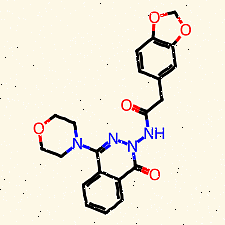 O=C(Cc1ccc2c(c1)OCO2)Nn1nc(N2CCOCC2)c2ccccc2c1=O